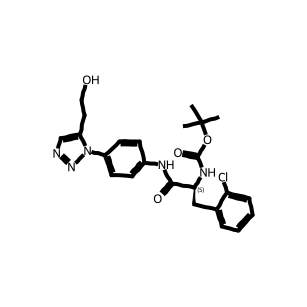 CC(C)(C)OC(=O)N[C@@H](Cc1ccccc1Cl)C(=O)Nc1ccc(-n2nncc2CCO)cc1